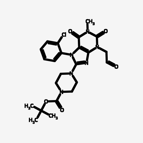 Cn1c(=O)c2c(nc(N3CCN(C(=O)OC(C)(C)C)CC3)n2-c2ccccc2Cl)n(CC=O)c1=O